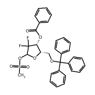 CS(=O)(=O)OC1O[C@@H](COC(c2ccccc2)(c2ccccc2)c2ccccc2)[C@@H](OC(=O)c2ccccc2)C1(F)F